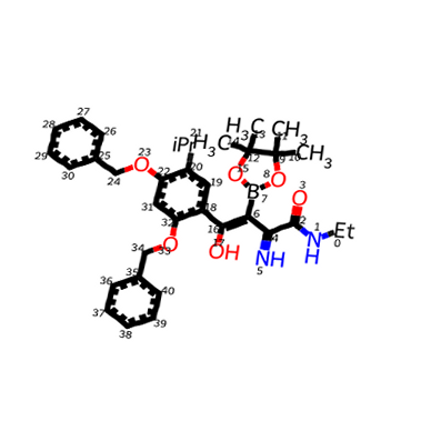 CCNC(=O)C(=N)/C(B1OC(C)(C)C(C)(C)O1)=C(\O)c1cc(C(C)C)c(OCc2ccccc2)cc1OCc1ccccc1